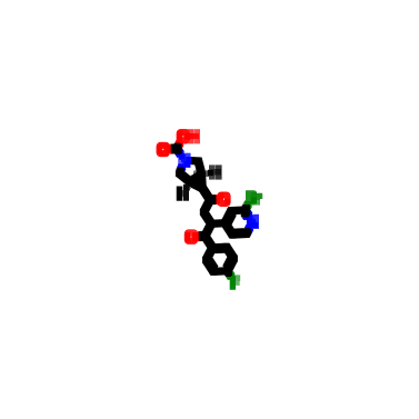 O=C(c1ccc(F)cc1)C(CC(=O)C1[C@H]2CN(C(=O)O)C[C@@H]12)c1ccnc(Br)c1